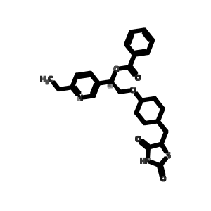 CCc1ccc([C@H](COC2CCC(CC3SC(=O)NC3=O)CC2)OC(=O)c2ccccc2)cn1